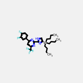 CCC[CH2][Sn]([CH2]CCC)([CH2]CCC)[c]1c[nH]c(-c2nc(-c3ccc(F)c(F)c3)cc(C(F)(F)F)n2)n1